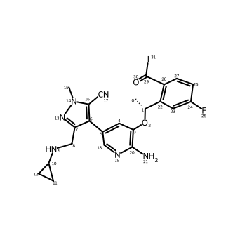 C[C@@H](Oc1cc(-c2c(CNC3CC3)nn(C)c2C#N)cnc1N)c1cc(F)ccc1C(=O)I